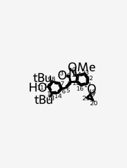 CON1C(=O)C(=Cc2cc(C(C)(C)C)c(O)c(C(C)(C)C)c2)c2cc(OC3CC3)ccc21